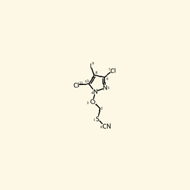 N#CSCOn1nc(Cl)c(I)c1Cl